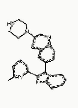 Cc1cccc(-c2nc3ccccn3c2-c2ccc3ncc(N4CCNCC4)cc3c2)n1